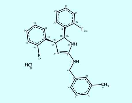 Cc1cccc(CNC2=N[C@@H](c3ccccc3F)[C@@H](c3ccccc3F)N2)c1.Cl